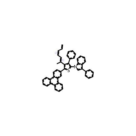 C=C/C=C\C=C(/C)c1c(-c2ccc3c4ccccc4c4ccccc4c3c2)sc(-n2cc(-c3ccccc3)c3ccccc32)c1-c1ccccc1